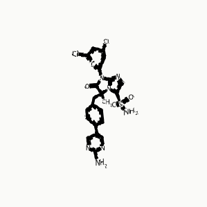 CC1(Cc2ccc(-c3cnc(N)nc3)cc2)C(=O)N(c2cc(Cl)cc(Cl)c2)c2ncc(S(N)(=O)=O)n21